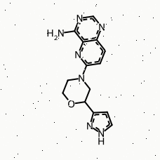 Nc1ncnc2ccc(N3CCOC(c4cc[nH]n4)C3)nc12